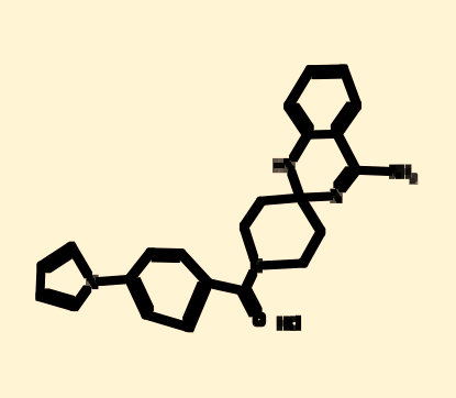 Cl.NC1=NC2(CCN(C(=O)c3ccc(-n4cccc4)cc3)CC2)Nc2ccccc21